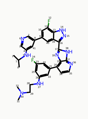 CC(C)Nc1cncc(-c2cc(F)c3[nH]nc(-c4nc5c(-c6cc(F)cc(NCCN(C)C)c6)ccnc5[nH]4)c3c2)c1